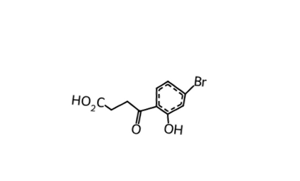 O=C(O)CCC(=O)c1ccc(Br)cc1O